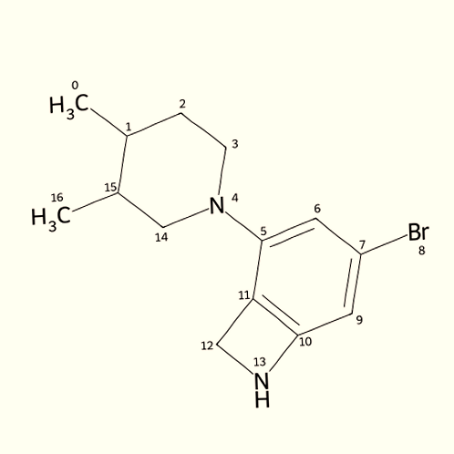 CC1CCN(c2cc(Br)cc3c2CN3)CC1C